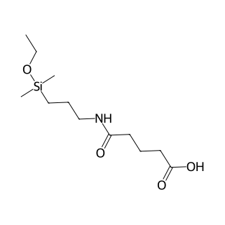 CCO[Si](C)(C)CCCNC(=O)CCCC(=O)O